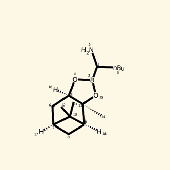 CCCCC(N)B1O[C@@H]2C[C@@H]3C[C@@H](C3(C)C)[C@]2(C)O1